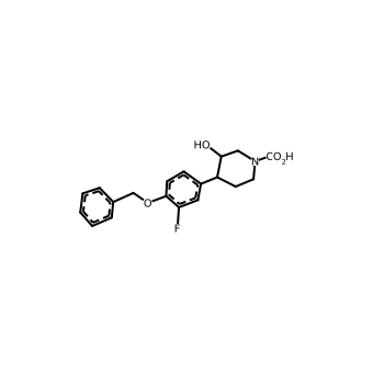 O=C(O)N1CCC(c2ccc(OCc3ccccc3)c(F)c2)C(O)C1